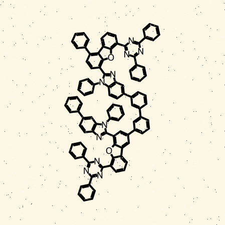 c1ccc(-c2ccc3nc(-c4cc(-c5cccc(-c6cccc(-c7ccc8c(c7)nc(-c7ccc(-c9ccccc9)c9c7oc7c(-c%10nc(-c%11ccccc%11)nc(-c%11ccccc%11)n%10)cccc79)n8-c7ccccc7)c6)c5)cc5c4oc4c(-c6nc(-c7ccccc7)nc(-c7ccccc7)n6)cccc45)n(-c4ccccc4)c3c2)cc1